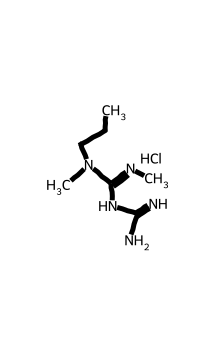 CCCN(C)C(=NC)NC(=N)N.Cl